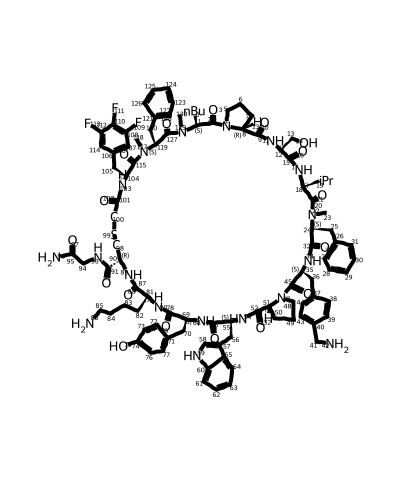 CCCC[C@H]1C(=O)N2CCC[C@@H]2C(=O)N[C@@H](CO)C(=O)N[C@@H](C(C)C)C(=O)N(C)[C@@H](Cc2ccccc2)C(=O)N[C@@H](Cc2ccc(CN)cc2)C(=O)N2CCC[C@@H]2C(=O)N[C@@H](Cc2c[nH]c3ccccc23)C(=O)N[C@@H](Cc2ccc(O)cc2)C(=O)N[C@@H](CCCCN)C(=O)N[C@H](C(=O)NCC(N)=O)CSCC(=O)N[C@@H](Cc2cc(F)c(F)c(F)c2)C(=O)N(C)[C@@H](Cc2ccccc2)C(=O)N1C